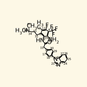 Cc1c(F)c(C(F)(F)F)c(N)c(NC(=O)Cc2ccc(-n3cnc4ccccc43)cc2)c1CCCN(C)C